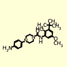 COc1cc(NC(=O)N2CCN(c3ccc(N)cc3)CC2)c(O)c(C(C)(C)C)c1